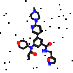 C=CC(=O)N(c1cc(C(=O)NCc2ccno2)cc(-c2ccc(N3CCN(C)CC3)nc2)c1)C1CCOCC1